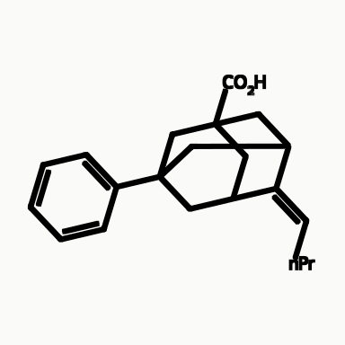 CCCC=C1C2CC3(C(=O)O)CC1CC(c1ccccc1)(C2)C3